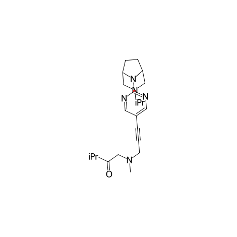 CC(C)C(=O)CN(C)CC#Cc1cnc(N2C3CCC2CN(C(C)C)C3)nc1